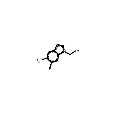 Cc1cc2ccn(CC(C)C)c2cc1F